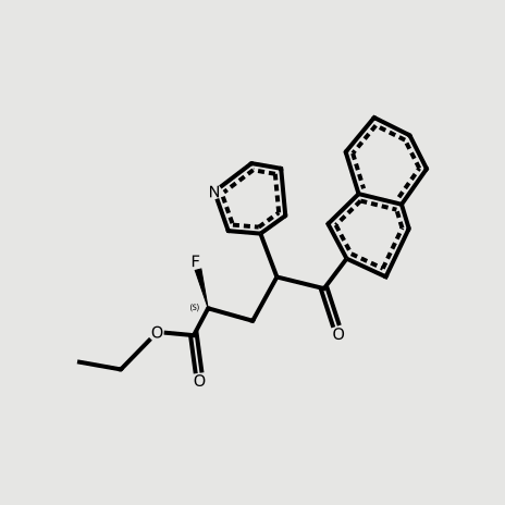 CCOC(=O)[C@@H](F)CC(C(=O)c1ccc2ccccc2c1)c1cccnc1